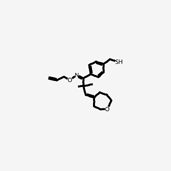 C=CCO/N=C(/c1ccc(CS)cc1)C(C)(C)/C=C1\CCCOCC1